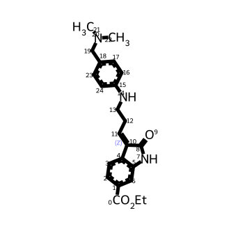 CCOC(=O)c1ccc2c(c1)NC(=O)/C2=C\CCNc1ccc(CN(C)C)cc1